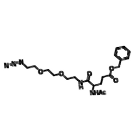 CC(=O)NC(CCC(=O)OCc1ccccc1)C(=O)NCCOCCOCCN=[N+]=[N-]